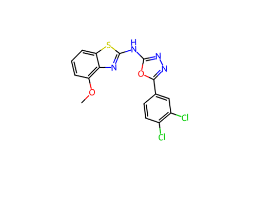 COc1cccc2sc(Nc3nnc(-c4ccc(Cl)c(Cl)c4)o3)nc12